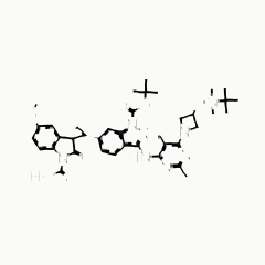 COc1ccc2c(c1)[C@]1(C[C@H]1c1ccc3c(Nc4nc(C)nc(N5CC(O[Si](C)(C)C(C)(C)C)C5)c4Cl)nn(C(=O)OC(C)(C)C)c3c1)C(=O)N2C(=O)O